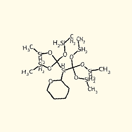 C[SiH2]OC(O[SiH2]C)(O[SiH2]C)[SiH](C1CCCCO1)C(O[SiH2]C)(O[SiH2]C)O[SiH2]C